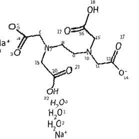 O.O.O.O=C([O-])CN(CCN(CC(=O)[O-])CC(=O)O)CC(=O)O.[Na+].[Na+]